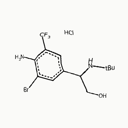 CC(C)(C)NC(CO)c1cc(Br)c(N)c(C(F)(F)F)c1.Cl